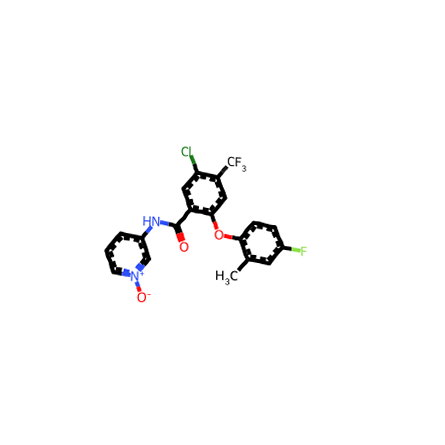 Cc1cc(F)ccc1Oc1cc(C(F)(F)F)c(Cl)cc1C(=O)Nc1ccc[n+]([O-])c1